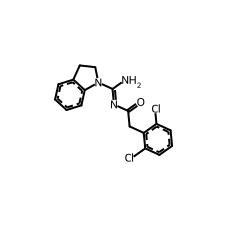 NC(=NC(=O)Cc1c(Cl)cccc1Cl)N1CCc2ccccc21